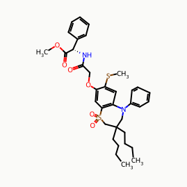 CCCCC1(CCCC)CN(c2ccccc2)c2cc(SC)c(OCC(=O)N[C@H](C(=O)OC)c3ccccc3)cc2S(=O)(=O)C1